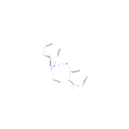 ClC1=Cc2ccccc2C2NC1c1ccccc12